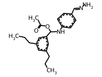 CCCc1cc(CCC)cc(C(Nc2ccc(C=NN)cc2)OC(C)=O)c1